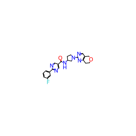 O=C(NC1CCN(c2ncc3c(n2)CCOC3)C1)c1cnc(-c2cccc(F)c2)nc1